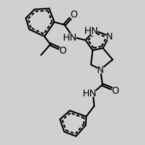 CC(=O)c1ccccc1C(=O)Nc1[nH]nc2c1CN(C(=O)NCc1ccccc1)C2